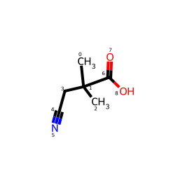 CC(C)(CC#N)C(=O)O